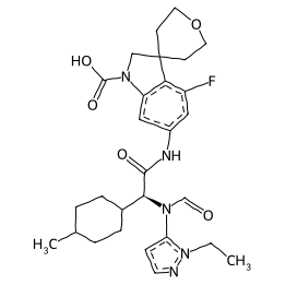 CCn1nccc1N(C=O)[C@H](C(=O)Nc1cc(F)c2c(c1)N(C(=O)O)CC21CCOCC1)C1CCC(C)CC1